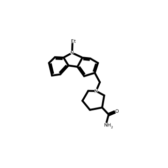 CCn1c2ccccc2c2cc(CN3CCCC(C(N)=O)C3)ccc21